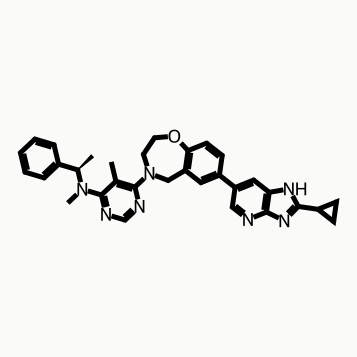 Cc1c(N2CCOc3ccc(-c4cnc5nc(C6CC6)[nH]c5c4)cc3C2)ncnc1N(C)[C@H](C)c1ccccc1